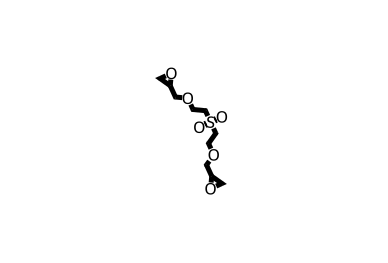 O=S(=O)(CCOCC1CO1)CCOCC1CO1